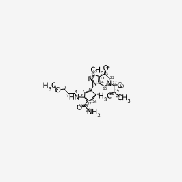 COCCCNc1cc(-n2nc(C)c3c2CN(C(=O)C(C)C)CC3=O)ccc1C(N)=O